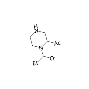 CCC([O])N1CCNCC1C(C)=O